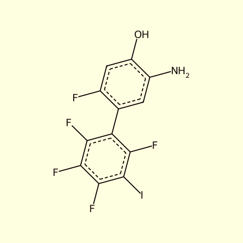 Nc1cc(-c2c(F)c(F)c(F)c(I)c2F)c(F)cc1O